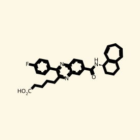 O=C(O)CCCCc1nc2cc(C(=O)N[C@H]3CCCC4=C3C=CCC=C4)ccc2nc1-c1ccc(F)cc1